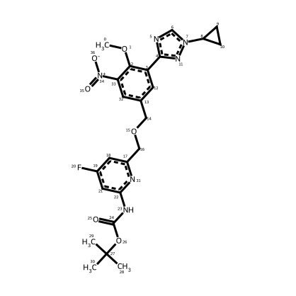 COc1c(-c2ncn(C3CC3)n2)cc(COCc2cc(F)cc(NC(=O)OC(C)(C)C)n2)cc1[N+](=O)[O-]